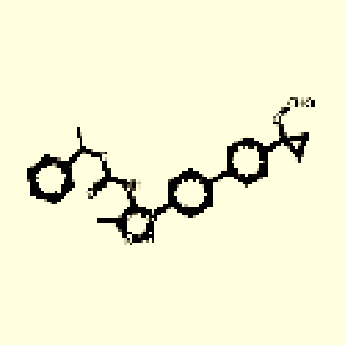 Cc1nnn(-c2ccc(-c3ccc(C4(OC=O)CC4)cc3)cc2)c1NC(=O)O[C@H](C)c1ccccc1